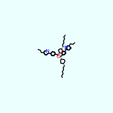 CCCCCCC[C@H]1CC[C@H](C(OC(c2ccc(-c3ccc(CCC)cn3)cc2)[C@H]2CC[C@H](CCCCCCC)CC2)c2ccc(-c3ccc(CCC)cn3)cc2)CC1